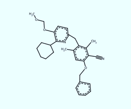 COCOc1ccc(Cc2c(C)cc(OCc3ccccc3)c(C#N)c2C)nc1C1CCCCC1